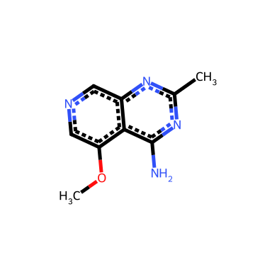 COc1cncc2nc(C)nc(N)c12